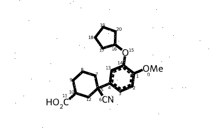 COc1ccc(C2(C#N)CCCC(C(=O)O)C2)cc1OC1CCCC1